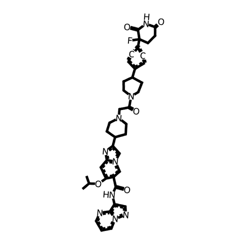 CC(C)Oc1cc2nc(C3CCN(CC(=O)N4CCC(c5ccc(C6(F)CCC(=O)NC6=O)cc5)CC4)CC3)cn2cc1C(=O)Nc1cnn2cccnc12